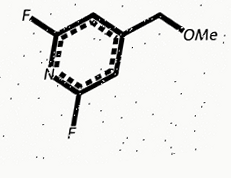 COCc1cc(F)nc(F)c1